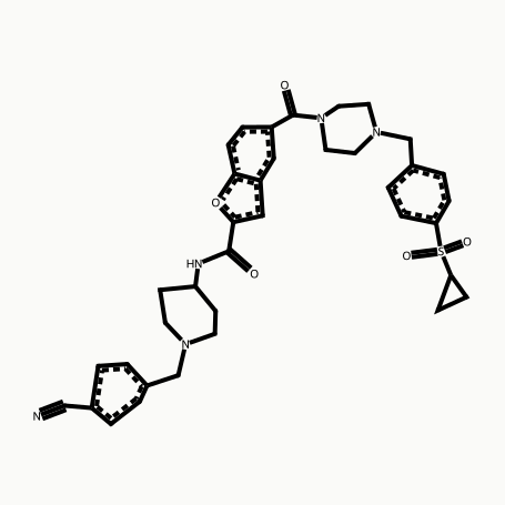 N#Cc1ccc(CN2CCC(NC(=O)c3cc4cc(C(=O)N5CCN(Cc6ccc(S(=O)(=O)C7CC7)cc6)CC5)ccc4o3)CC2)cc1